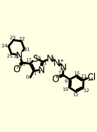 Cc1nc(N=[N+]=NC(=O)c2cccc(Cl)c2)sc1C(=O)N1CCCCC1